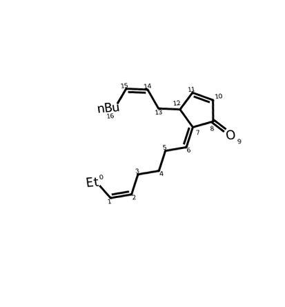 CC/C=C\CCC/C=C1/C(=O)C=CC1C/C=C\CCCC